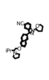 CC(C)C(COc1ccc2cc(-c3nn([C@@H]4CCCCO4)c4ccc(C#N)cc34)ccc2c1)N1CCCC1